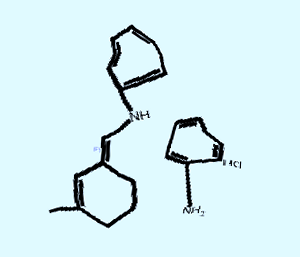 CC1=C/C(=C/Nc2ccccc2)CCC1.Cl.Nc1ccccc1